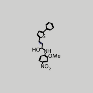 COc1cc([N+](=O)[O-])ccc1NC(O)/C=C/c1ccc(-c2ccccc2)s1